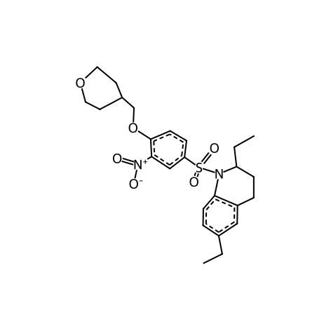 CCc1ccc2c(c1)CCC(CC)N2S(=O)(=O)c1ccc(OCC2CCOCC2)c([N+](=O)[O-])c1